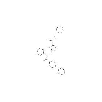 O=C(NCc1cccnc1)c1ccc2n1Cc1ccccc1N(C(=O)c1ccc(-c3ccccn3)cc1)C2